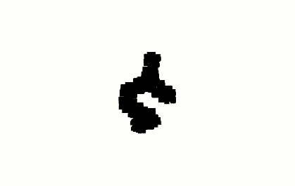 c1ccc(-c2ccc(N(c3ccc(-c4ccccc4)cc3)c3ccc(-c4cccc(-c5cccc(-c6ccc7c(c6)-c6ccccc6C76C7CC8CC(C7)CC6C8)c5)c4)cc3)cc2)cc1